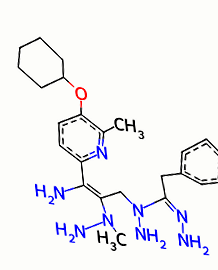 Cc1nc(/C(N)=C(\CN(N)/C(Cc2ccccc2)=N\N)N(C)N)ccc1OC1CCCCC1